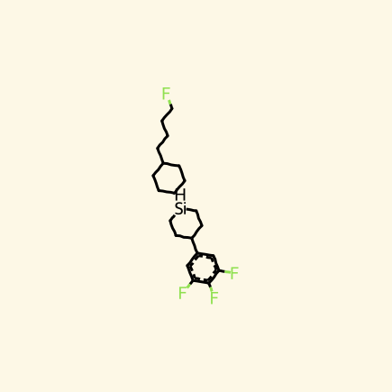 FCCCCC1CCC([SiH]2CCC(c3cc(F)c(F)c(F)c3)CC2)CC1